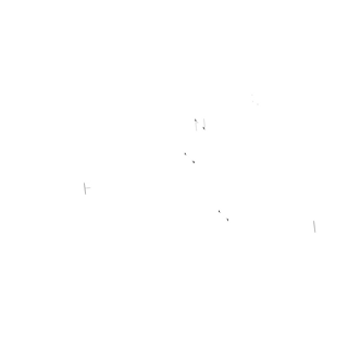 Fc1cnc2c(c1)c(Cl)nn2Cc1ccccc1F